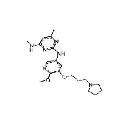 CNc1cc(C)nc(Nc2cnc(OC)c(OCCCN3CCCC3)c2)n1